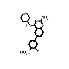 Nc1nc(NC2CCCCC2)c2cc(-c3ccc(C(=O)O)c(F)c3)ccc2n1